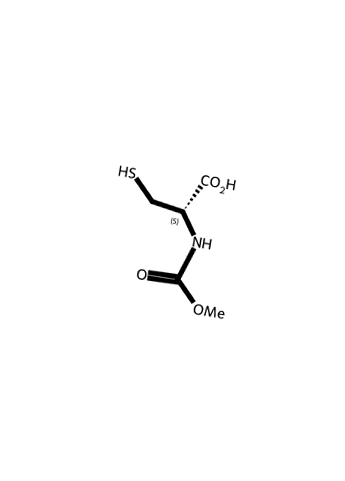 COC(=O)N[C@H](CS)C(=O)O